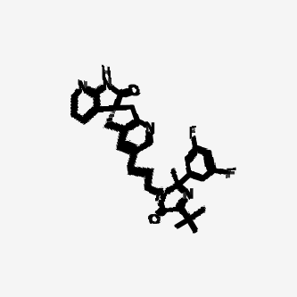 CC(C)(C)C1=N[C@@](C)(c2cc(F)cc(F)c2)N(C/C=C/c2cnc3c(c2)C[C@@]2(C3)C(=O)Nc3ncccc32)C1=O